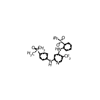 CC(C)S(=O)(=O)c1ccccc1Nc1cc(Nc2ccc(P(C)(C)=O)cc2)ncc1C(F)(F)F